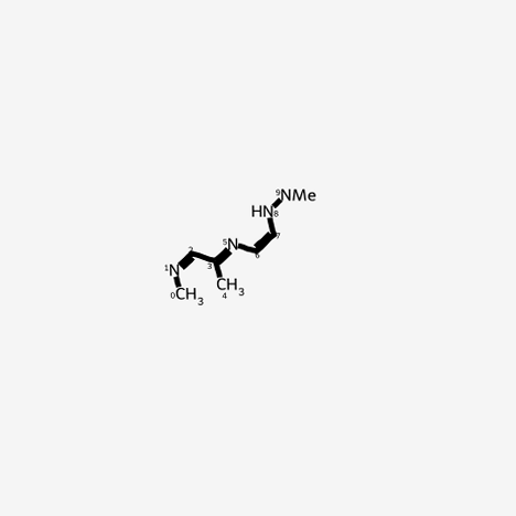 C\N=C/C(C)=N/C=C\NNC